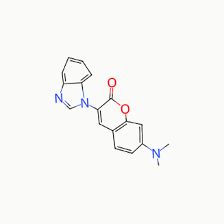 CN(C)c1ccc2cc(-n3cnc4ccccc43)c(=O)oc2c1